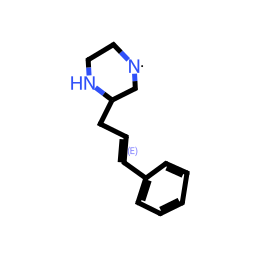 C(=C\c1ccccc1)/CC1C[N]CCN1